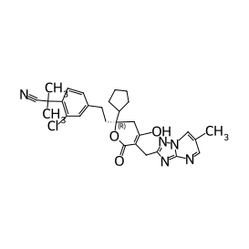 Cc1cnc2nc(CC3=C(O)C[C@](CCc4ccc(C(C)(C)C#N)c(Cl)c4)(C4CCCC4)OC3=O)nn2c1